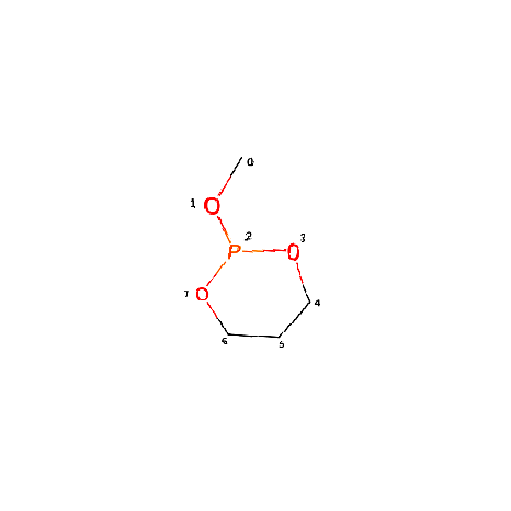 COP1OCCCO1